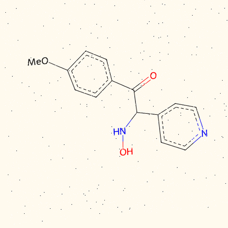 COc1ccc(C(=O)C(NO)c2ccncc2)cc1